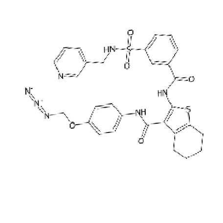 [N-]=[N+]=NCOc1ccc(NC(=O)c2c(NC(=O)c3cccc(S(=O)(=O)NCc4cccnc4)c3)sc3c2CCCC3)cc1